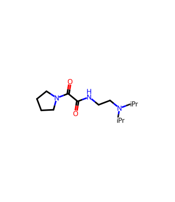 CC(C)N(CCNC(=O)C(=O)N1CCCC1)C(C)C